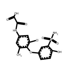 Cc1cc(NC(=O)C(=O)O)cc(Cl)c1Oc1ccc(O)c(S(N)(=O)=O)c1